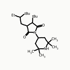 CCC(CC1C(=O)N(C2CC(C)(C)NC(C)(C)C2)C(=O)C1C(C)(C)C)C(C)(C)C